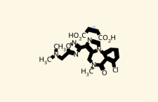 CN(C)Cc1nc(-c2ncn3c2CN(C)C(=O)c2c(Cl)cccc2-3)no1.O=C(O)/C=C\C(=O)O